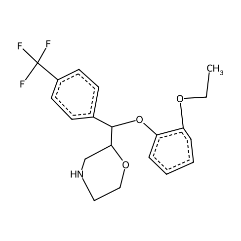 CCOc1ccccc1OC(c1ccc(C(F)(F)F)cc1)C1CNCCO1